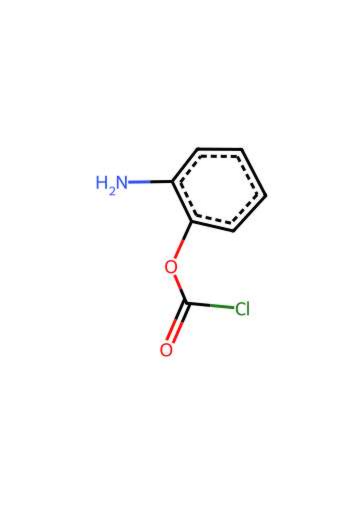 Nc1ccccc1OC(=O)Cl